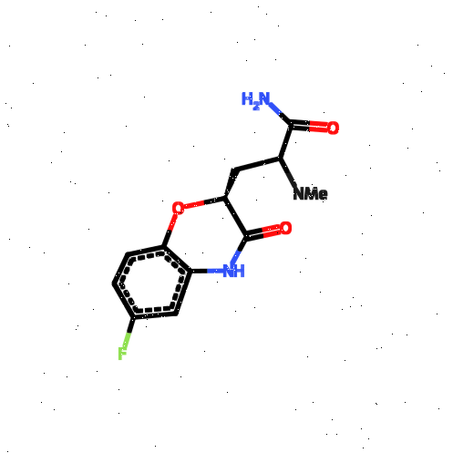 CNC(C[C@@H]1Oc2ccc(F)cc2NC1=O)C(N)=O